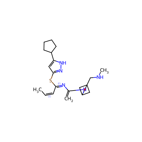 C=C(/N=C(\C=C/C)Sc1cc(C2CCCC2)[nH]n1)N1CC2(CNC)CC1C2